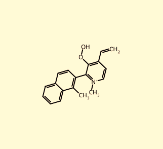 C=Cc1cc[n+](C)c(-c2ccc3ccccc3c2C)c1OO